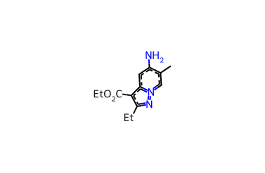 CCOC(=O)c1c(CC)nn2cc(C)c(N)cc12